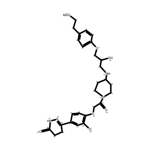 COCCc1ccc(OCC(O)CNC2CCN(C(=O)COc3ccc(C4=NNC(=O)CC4)cc3Cl)CC2)cc1